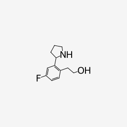 OCCc1ccc(F)cc1C1CCCN1